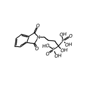 O=C1c2ccccc2C(=O)N1CCCC(O)(P(=O)(O)O)P(=O)(O)O